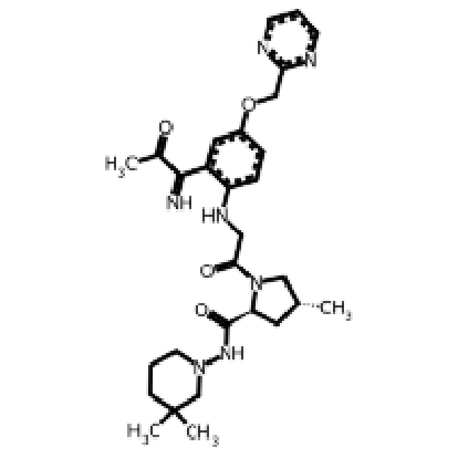 CC(=O)C(=N)c1cc(OCc2ncccn2)ccc1NCC(=O)N1C[C@H](C)C[C@H]1C(=O)NN1CCCC(C)(C)C1